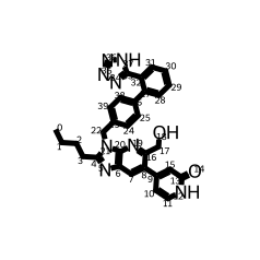 CCCCc1nc2cc(-c3cc[nH]c(=O)c3)c(CO)nc2n1Cc1ccc(-c2ccccc2-c2nnn[nH]2)cc1